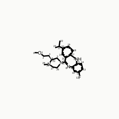 COCC[C@H]1CN(C2=Nc3cc(F)ccc3Nc3ccc(C(C)C)cc32)CCN1C